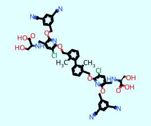 Cc1c(COc2nc(OCc3cc(C#N)cc(C#N)c3)c(CNC(CO)C(=O)O)cc2Cl)cccc1-c1cccc(COc2nc(OCc3cc(C#N)cc(C#N)c3)c(CN[C@@H](CO)C(=O)O)cc2Cl)c1C